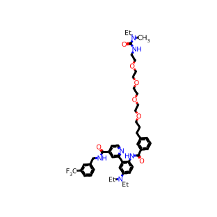 CCN(C)C(=O)NCCOCCOCCOCCOCCCc1cccc(C(=O)Nc2ccc(N(CC)CC)cc2-c2cc(C(=O)NCc3cccc(C(F)(F)F)c3)ccn2)c1